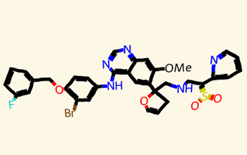 COc1cc2ncnc(Nc3ccc(OCc4cccc(F)c4)c(Br)c3)c2cc1C1(CNCC(c2ccccn2)=S(=O)=O)CC=CO1